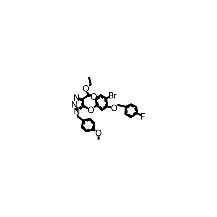 CCOC(=O)c1nnn(Cc2ccc(OC)cc2)c1Oc1ccc(Br)c(OCc2ccc(F)cc2)c1